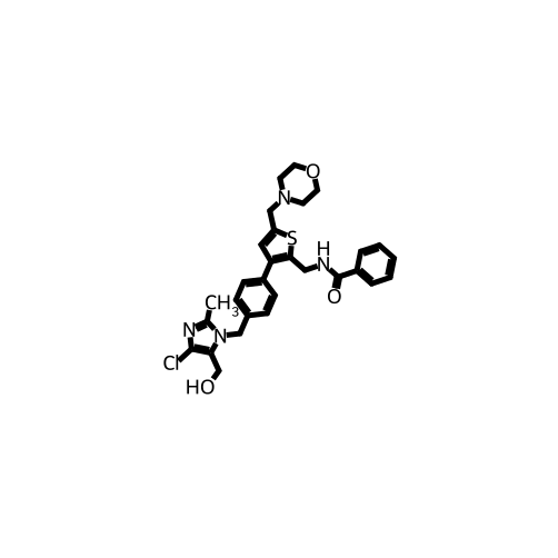 Cc1nc(Cl)c(CO)n1Cc1ccc(-c2cc(CN3CCOCC3)sc2CNC(=O)c2ccccc2)cc1